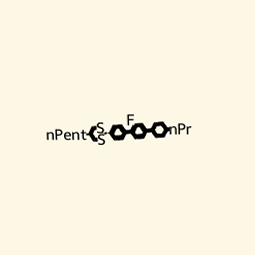 CCCCC[C@H]1CS[C@H](c2ccc(-c3ccc(C4CCC(CCC)CC4)cc3F)cc2)SC1